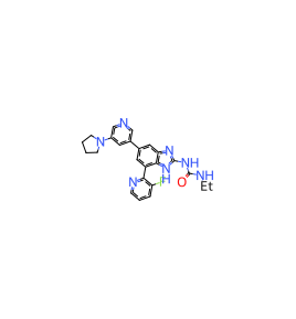 CCNC(=O)Nc1nc2cc(-c3cncc(N4CCCC4)c3)cc(-c3ncccc3F)c2[nH]1